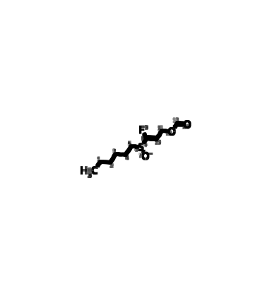 CCCCCC[S+]([O-])/C(F)=C/COC=O